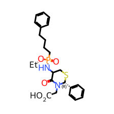 CCOP(=O)(CCCCc1ccccc1)NC1CS[C@H](c2ccccc2)N(CC(=O)O)C1=O